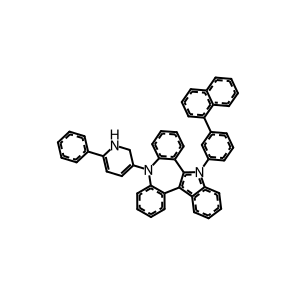 C1=C(c2ccccc2)NCC(N2c3ccccc3-c3c(n(-c4cccc(-c5cccc6ccccc56)c4)c4ccccc34)-c3ccccc32)=C1